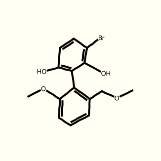 COCc1cccc(OC)c1-c1c(O)ccc(Br)c1O